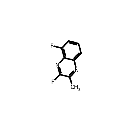 Cc1nc2cccc(F)c2nc1F